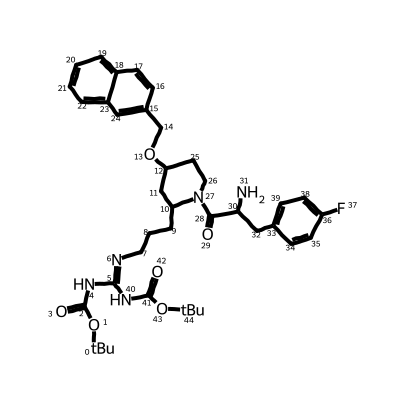 CC(C)(C)OC(=O)NC(=NCCCC1CC(OCc2ccc3ccccc3c2)CCN1C(=O)C(N)Cc1ccc(F)cc1)NC(=O)OC(C)(C)C